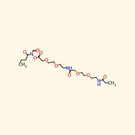 CCCC(=O)N(C=O)OC(=O)COCCOCCNC(=O)COCCOCCNC(=O)CC